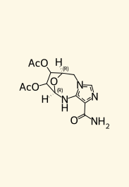 CC(=O)OC1C(OC(C)=O)[C@H]2Cn3cnc(C(N)=O)c3N[C@@H]1O2